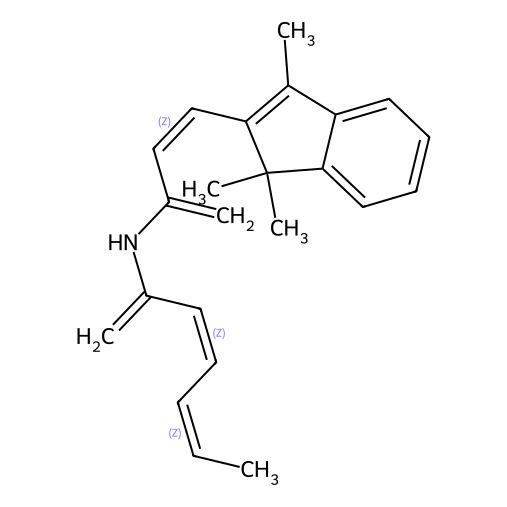 C=C(/C=C\C=C/C)NC(=C)/C=C\C1=C(C)c2ccccc2C1(C)C